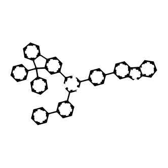 c1ccc(-c2cccc(-c3nc(-c4ccc(-c5ccc6c(c5)sc5ccccc56)cc4)nc(-c4ccc5c(c4)C(c4ccccc4)(c4ccccc4)c4ccccc4-5)n3)c2)cc1